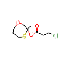 CC1(OC(=O)CCCl)COCCCS1